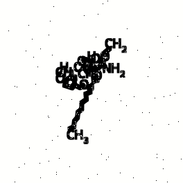 C=CCO[C@@H]1O[C@@H]2COC(C)(C)O[C@H]2[C@H](OCC[C@@H](CCCCCCCCCCC)OCc2ccc(OC)cc2)[C@H]1N